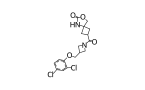 O=C1NC2(CO1)CC(C(=O)N1CC(COc3ccc(Cl)cc3Cl)C1)C2